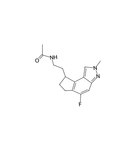 CC(=O)NCCC1CCc2c(F)cc3nn(C)cc3c21